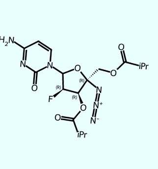 CC(C)C(=O)OC[C@@]1(N=[N+]=[N-])OC(n2ccc(N)nc2=O)[C@H](F)[C@@H]1OC(=O)C(C)C